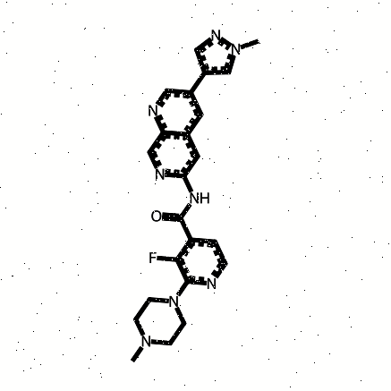 CN1CCN(c2nccc(C(=O)Nc3cc4cc(-c5cnn(C)c5)cnc4cn3)c2F)CC1